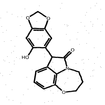 O=C1C(c2cc3c(cc2O)OCO3)c2cccc3c2N1CCCO3